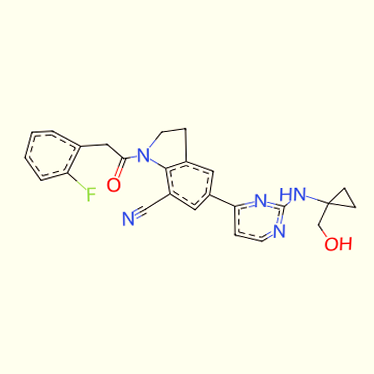 N#Cc1cc(-c2ccnc(NC3(CO)CC3)n2)cc2c1N(C(=O)Cc1ccccc1F)CC2